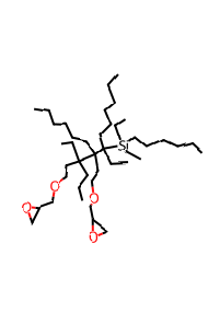 CCCCCCC(CCOCC1CO1)(C(CC)(CCC)CCOCC1CO1)C(CC)(CCCCCC)[Si](CC)(CC)CCCCCC